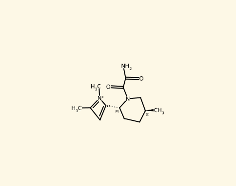 CC1=[N+](C)C([C@H]2CC[C@H](C)CN2C(=O)C(N)=O)=C1